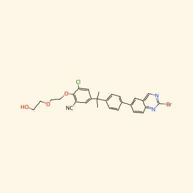 CC(C)(c1ccc(-c2ccc3nc(Br)ncc3c2)cc1)c1cc(Cl)c(OCCOCCO)c(C#N)c1